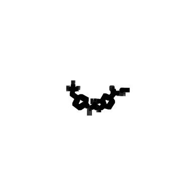 CCNC(=O)c1ccc2nc(Nc3ccc(CC(F)(F)F)cc3)[nH]c2c1